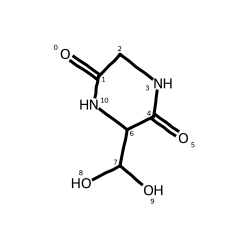 O=C1CNC(=O)C(C(O)O)N1